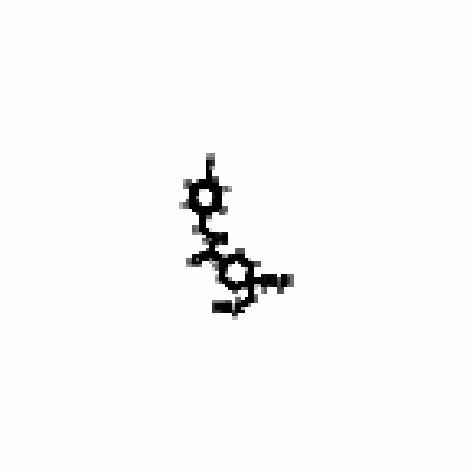 O=C(O)CC1(C(=O)O)CCN(C(=O)NCc2ccc(F)cc2)CC1